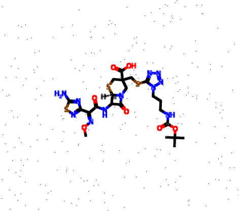 CON=C(C(=O)NC1C(=O)N2CC(CSc3nnnn3CCCNC(=O)OC(C)(C)C)(C(=O)O)CS[C@H]12)c1nsc(N)n1